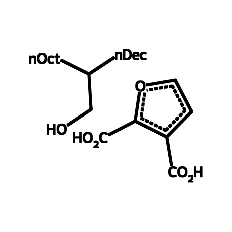 CCCCCCCCCCC(CO)CCCCCCCC.O=C(O)c1ccoc1C(=O)O